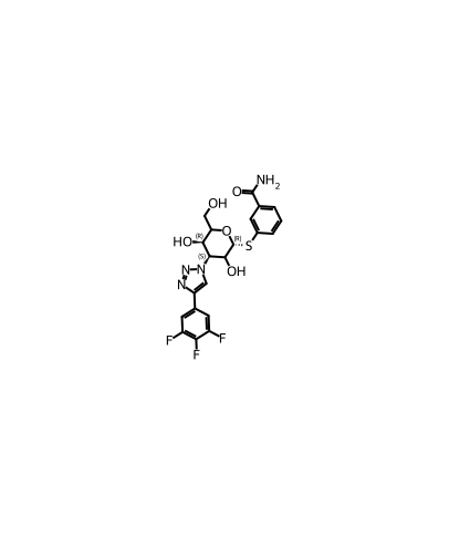 NC(=O)c1cccc(S[C@H]2OC(CO)[C@H](O)[C@H](n3cc(-c4cc(F)c(F)c(F)c4)nn3)C2O)c1